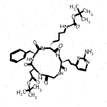 CC(C)(C)OC(=O)C[C@@H]1NC(=O)CNC(=O)[C@H](CCc2ccnc(N)n2)NC(=O)[C@@H](CCCCNC(=O)OC(C)(C)C)NC(=O)[C@H](Cc2ccccc2)NC1=O